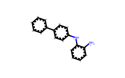 Nc1ccccc1Nc1ccc(-c2ccccc2)cc1